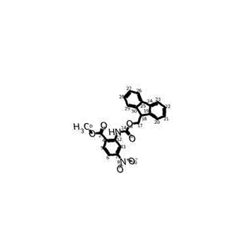 COC(=O)c1ccc([N+](=O)[O-])cc1NC(=O)OCC1c2ccccc2-c2ccccc21